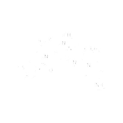 C=NN1C=C(C)C(N2CC[C@H](N)C2)=N/C1=C/C1CCCCN1C(=O)c1ccsc1